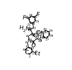 CCc1cccc(CN(C[C@@H](O)[C@@H](N)Cc2cc(F)cc(F)c2)C(=O)CSc2cccc[n+]2[O-])c1